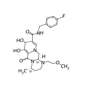 COCCN1CC[C@H](C)N2C(=O)C3=C(O)C(O)C(C(=O)NCc4ccc(F)cc4)=CN3C[C@@H]12